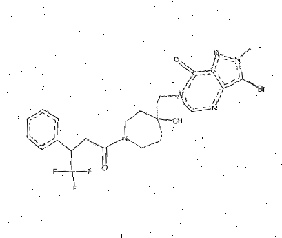 Cn1nc2c(=O)n(CC3(O)CCN(C(=O)CC(c4ccccc4)C(F)(F)F)CC3)cnc2c1Br